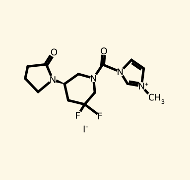 C[n+]1ccn(C(=O)N2C[C@H](N3CCCC3=O)CC(F)(F)C2)c1.[I-]